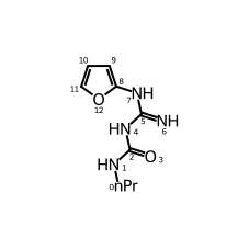 CCCNC(=O)NC(=N)Nc1ccco1